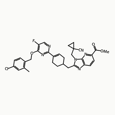 COC(=O)c1ccc2nc(CC3CC=C(c4ncc(F)c(OCc5ccc(Cl)cc5C)n4)CC3)n(CC3(C#N)CC3)c2n1